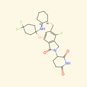 BC1(N[C@H]2CCCC[C@@H]2Cc2ccc3c(c2F)CN(C2CCC(=O)NC2=O)C3=O)CCC(F)(F)CC1